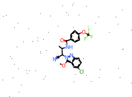 COc1c2cc(Cl)ccc2nn1C(C#N)C(C)NC(=O)c1ccc(OC(F)(F)F)cc1